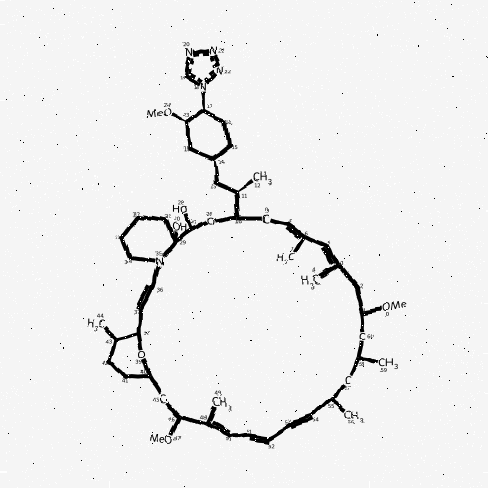 COC1C/C(C)=C/C(C)=C/CC([C@H](C)C[C@@H]2CC[C@H](n3cnnn3)[C@H](OC)C2)OC(O)C2(O)CCCCN2/C=C/C2OC(CCC2C)CC(OC)/C(C)=C/C=C/C=C/C(C)CC(C)C1